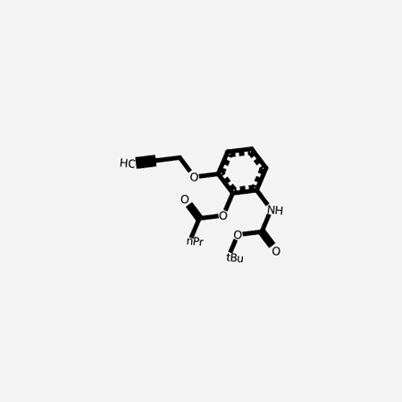 C#CCOc1cccc(NC(=O)OC(C)(C)C)c1OC(=O)CCC